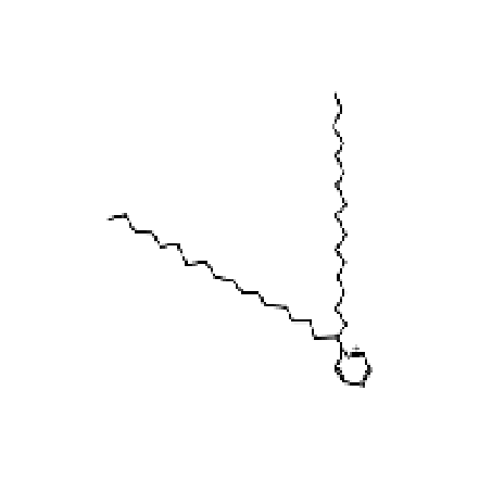 CCCCCCCCCCCCCCCCCC(CCCCCCCCCCCCCCCC)[n+]1ccccc1